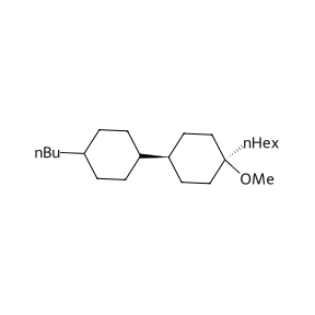 CCCCCC[C@]1(OC)CC[C@@H](C2CCC(CCCC)CC2)CC1